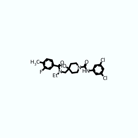 CCN(CC1(O)CCN(C(=O)Nc2cc(Cl)cc(Cl)c2)CC1)C(=O)c1ccc(C)c(F)c1